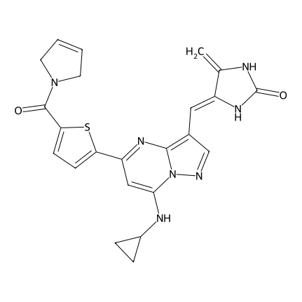 C=c1[nH]c(=O)[nH]/c1=C\c1cnn2c(NC3CC3)cc(-c3ccc(C(=O)N4CC=CC4)s3)nc12